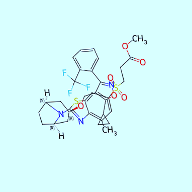 COC(=O)CCS(=O)(=O)c1cc(C)c2nc(N3[C@@H]4CC[C@H]3C[C@@H](OCc3c(-c5ccccc5C(F)(F)F)noc3C3CC3)C4)sc2c1